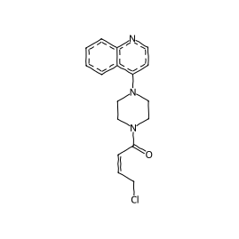 O=C(/C=C\CCl)N1CCN(c2ccnc3ccccc23)CC1